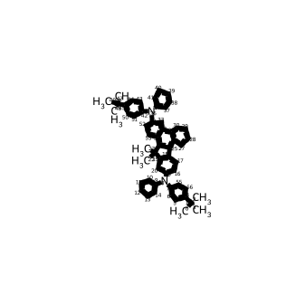 CC(C)(C)c1ccc(N(c2ccccc2)c2ccc3c(c2)C(C)(C)c2c-3c3ccccc3c3cc(N(c4ccccc4)c4ccc(C(C)(C)C)cc4)ccc23)cc1